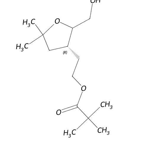 CC1(C)C[C@@H](CCOC(=O)C(C)(C)C)C(CO)O1